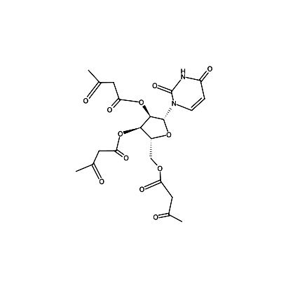 CC(=O)CC(=O)OC[C@H]1O[C@@H](n2ccc(=O)[nH]c2=O)[C@H](OC(=O)CC(C)=O)[C@@H]1OC(=O)CC(C)=O